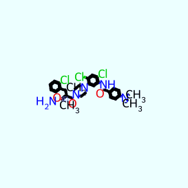 C=C(/C(C(=O)N1CCN(c2cc(NC(=O)c3ccc(N(C)C)cc3)c(Cl)cc2Cl)CC1)=C(/C)ON)c1ccccc1Cl